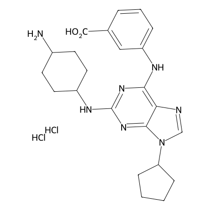 Cl.Cl.NC1CCC(Nc2nc(Nc3cccc(C(=O)O)c3)c3ncn(C4CCCC4)c3n2)CC1